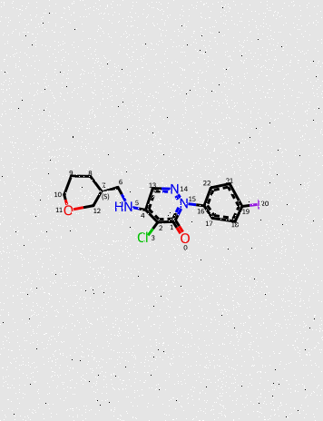 O=c1c(Cl)c(NC[C@@H]2CCCOC2)cnn1-c1ccc(I)cc1